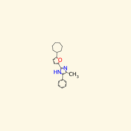 Cc1nc(-c2ccc(C3CCCCCC3)o2)[nH]c1-c1ccccc1